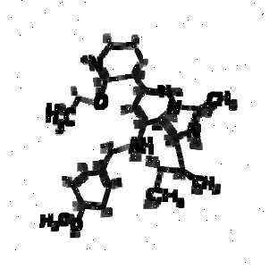 CCOc1ncccc1-c1cc(NCc2ccc(OC)cc2)c2c([C@@H](C)CC)nc(C)n2n1